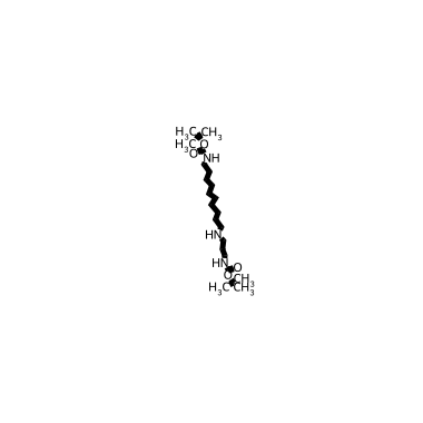 CC(C)(C)OC(=O)NCCCCCCCCCCNCCCNC(=O)OC(C)(C)C